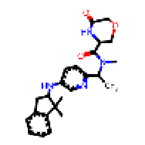 CN(C(=O)C1COCC(=O)N1)C(c1ccc(NC2Cc3ccccc3C2(C)C)cn1)C(F)(F)F